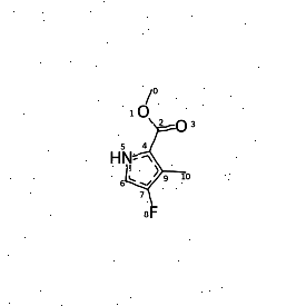 COC(=O)c1[nH]cc(F)c1C